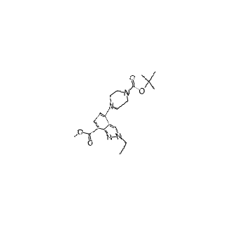 CCn1cc2c(N3CCN(C(=O)OC(C)(C)C)CC3)ccc(C(=O)OC)c2n1